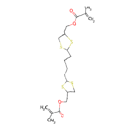 C=C(C)C(=O)OCC1CSC(CCCCC2SCC(COC(=O)C(=C)C)S2)S1